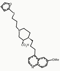 COc1ccc2nccc(CCC[C@@H]3CCN(CCCSc4ccco4)C[C@@H]3C(=O)O)c2c1